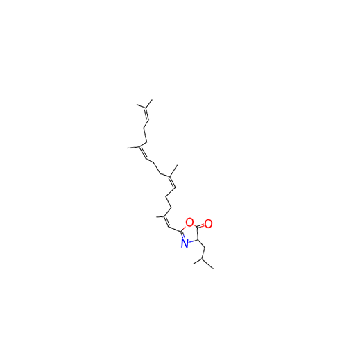 CC(C)=CCCC(C)=CCCC(C)=CCCC(C)=CC1=NC(CC(C)C)C(=O)O1